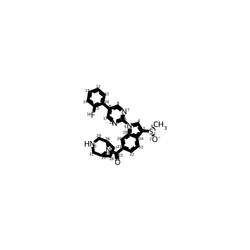 C[S+]([O-])c1cn(-c2ncc(-c3ccccc3F)cn2)c2cc(C(=O)N3C4CCC3CNC4)ccc12